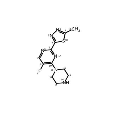 Cc1nnc(-c2ncc(F)c(N3CCNCC3)n2)s1